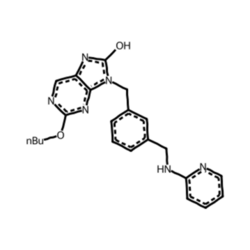 CCCCOc1ncc2nc(O)n(Cc3cccc(CNc4ccccn4)c3)c2n1